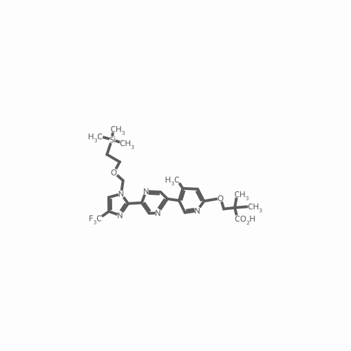 Cc1cc(OCC(C)(C)C(=O)O)ncc1-c1cnc(-c2nc(C(F)(F)F)cn2COCC[Si](C)(C)C)cn1